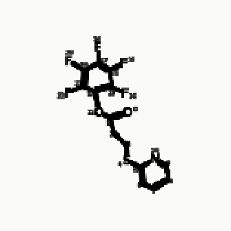 O=C(CCSc1ccccn1)Oc1c(F)c(F)c(F)c(F)c1F